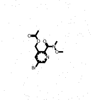 CON(C)C(=O)c1ncc(Br)cc1COC(C)=O